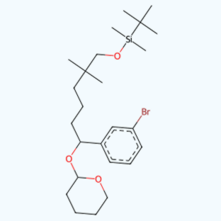 CC(C)(CCCC(OC1CCCCO1)c1cccc(Br)c1)CO[Si](C)(C)C(C)(C)C